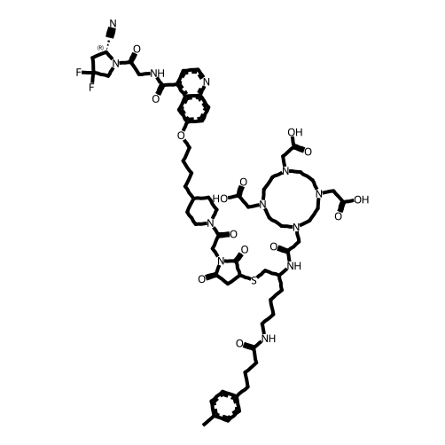 Cc1ccc(CCCC(=O)NCCCCC(CSC2CC(=O)N(CC(=O)N3CCC(CCCCOc4ccc5nccc(C(=O)NCC(=O)N6CC(F)(F)C[C@@H]6C#N)c5c4)CC3)C2=O)NC(=O)CN2CCN(CC(=O)O)CCN(CC(=O)O)CCN(CC(=O)O)CC2)cc1